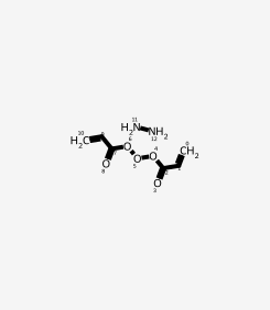 C=CC(=O)OOOC(=O)C=C.NN